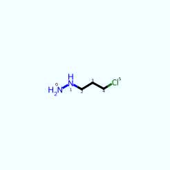 NNCCCCl